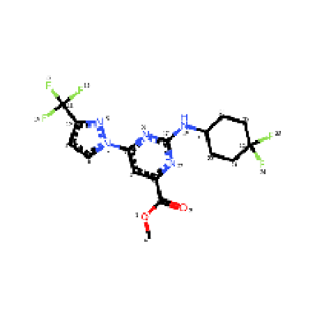 COC(=O)c1cc(-n2ccc(C(F)(F)F)n2)nc(NC2CCC(F)(F)CC2)n1